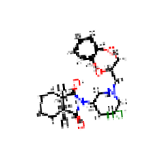 Cl.O=C1[C@H]2CCCC[C@H]2C(=O)N1C1CCCN(CC2COc3ccccc3O2)C1